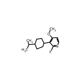 COc1ccnc(F)c1C1CCC(C(C)C)CC1